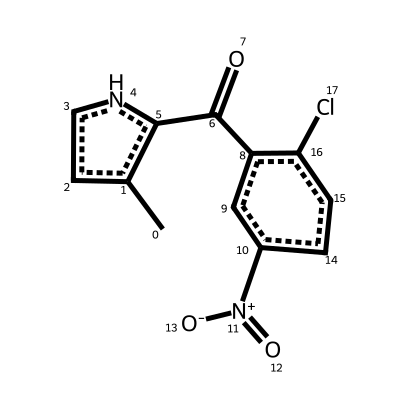 Cc1cc[nH]c1C(=O)c1cc([N+](=O)[O-])ccc1Cl